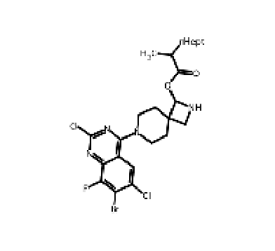 CCCCCCCC(C)C(=O)OC1NCC12CCN(c1nc(Cl)nc3c(F)c(Br)c(Cl)cc13)CC2